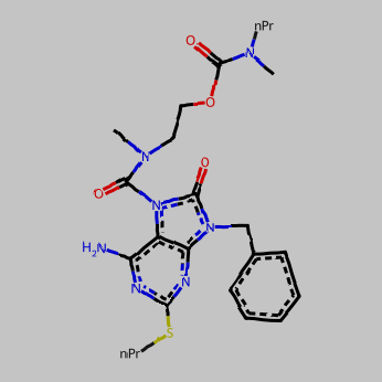 CCCSc1nc(N)c2c(n1)n(Cc1ccccc1)c(=O)n2C(=O)N(C)CCOC(=O)N(C)CCC